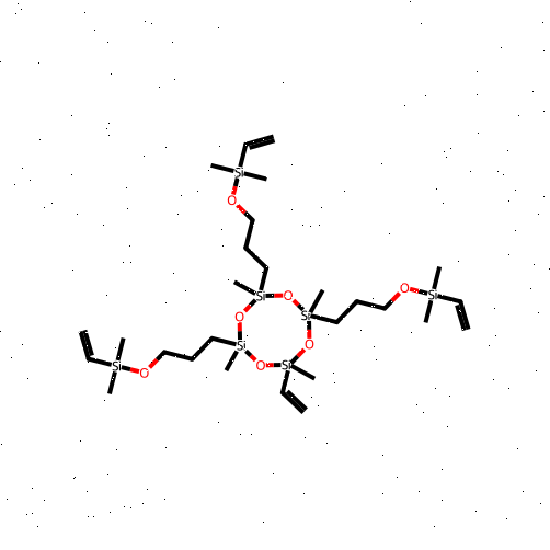 C=C[Si](C)(C)OCCC[Si]1(C)O[Si](C)(C=C)O[Si](C)(CCCO[Si](C)(C)C=C)O[Si](C)(CCCO[Si](C)(C)C=C)O1